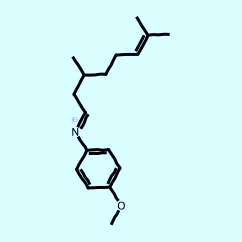 COc1ccc(/N=C/CC(C)CCC=C(C)C)cc1